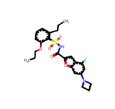 CCCOc1cccc(CCC)c1S(=O)(=O)NC(=O)c1cc2c(F)cc(N3CCC3)cc2o1